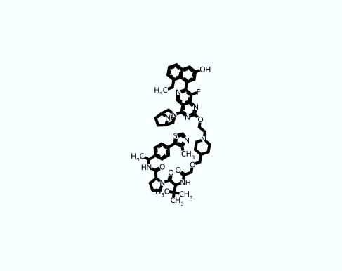 CCc1cccc2cc(O)cc(-c3ncc4c(N5CC6CCC(C5)N6)nc(OCCN5CCC(COCC(=O)NC(C(=O)N6CCCC6C(=O)NC(C)c6ccc(-c7scnc7C)cc6)C(C)(C)C)CC5)nc4c3F)c12